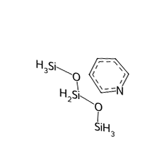 [SiH3]O[SiH2]O[SiH3].c1ccncc1